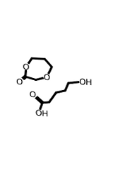 O=C(O)CCCCO.O=C1COCCCO1